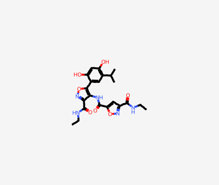 CCNC(=O)c1cc(C(=O)Nc2c(C(=O)NCC)noc2-c2cc(C(C)C)c(O)cc2O)on1